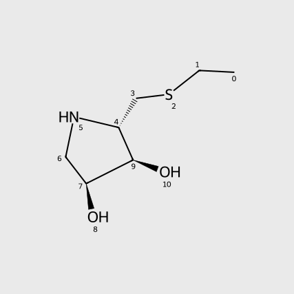 CCSC[C@H]1NC[C@H](O)[C@@H]1O